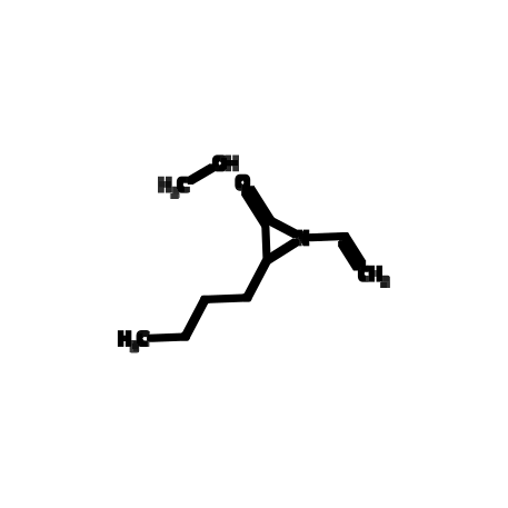 C=CN1C(=O)C1CCCC.CO